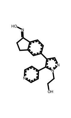 OCCn1ncc(-c2ccc3c(c2)CC/C3=N\O)c1-c1ccncc1